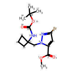 COC(=O)c1cc(Br)nn1CC1(NC(=O)OC(C)(C)C)CCC1